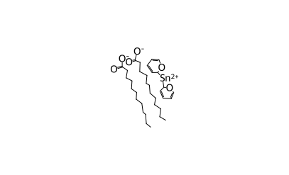 C1=CO[CH]([Sn+2][CH]2C=CC=CO2)C=C1.CCCCCCCCCCCC(=O)[O-].CCCCCCCCCCCC(=O)[O-]